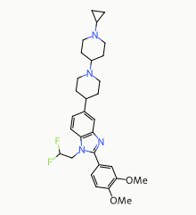 COc1ccc(-c2nc3cc(C4CCN(C5CCN(C6CC6)CC5)CC4)ccc3n2CC(F)F)cc1OC